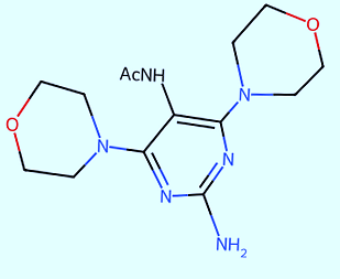 CC(=O)Nc1c(N2CCOCC2)nc(N)nc1N1CCOCC1